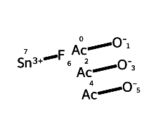 CC(=O)[O-].CC(=O)[O-].CC(=O)[O-].[F][Sn+3]